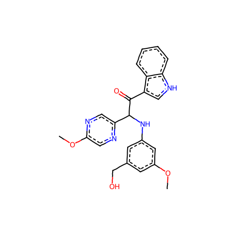 COc1cc(CO)cc(NC(C(=O)c2c[nH]c3ccccc23)c2cnc(OC)cn2)c1